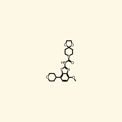 COc1ccc(C2CCOCC2)c2sc(NC(=O)N3CCC4(CC3)OCCO4)nc12